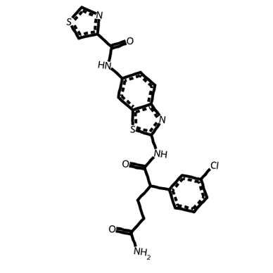 NC(=O)CCC(C(=O)Nc1nc2ccc(NC(=O)c3cscn3)cc2s1)c1cccc(Cl)c1